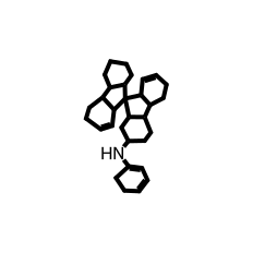 C1=CCCC(NC2CCC3C4CCC=CC4C4(C5C=CCCC5C5CCCCC54)C3C2)=C1